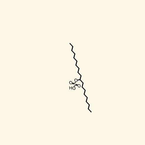 CCCCCCCCCCC(CCCCCCCCC)OS(=O)(=O)O